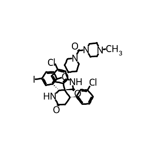 CN1CCN(C(=O)N2CCC(Oc3ccc(I)cc3[C@H]3NC(=O)C[C@@H](c4cccc(Cl)c4)[C@]34C(=O)Nc3cc(Cl)ccc34)CC2)CC1